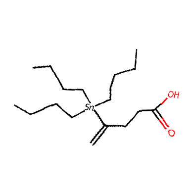 C=[C](CCC(=O)O)[Sn]([CH2]CCC)([CH2]CCC)[CH2]CCC